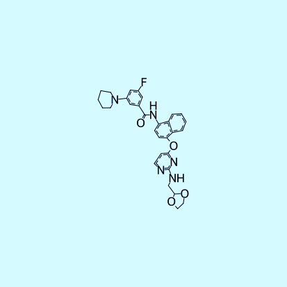 O=C(Nc1ccc(Oc2ccnc(NCC3OCCO3)n2)c2ccccc12)c1cc(F)cc(N2CCCCC2)c1